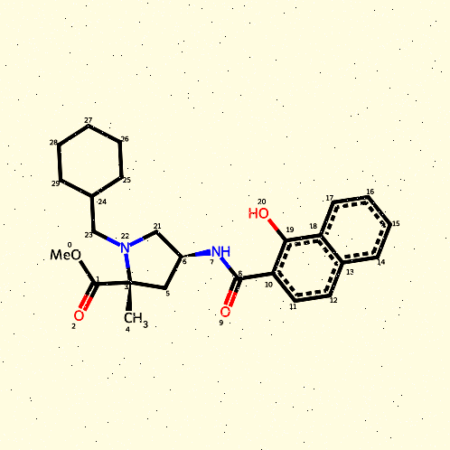 COC(=O)[C@@]1(C)C[C@H](NC(=O)c2ccc3ccccc3c2O)CN1CC1CCCCC1